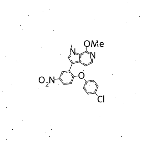 COc1nccc2c(-c3cc([N+](=O)[O-])ccc3Oc3ccc(Cl)cc3)cn(C)c12